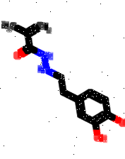 C=C(C)C(=O)NNCCc1ccc(O)c(O)c1